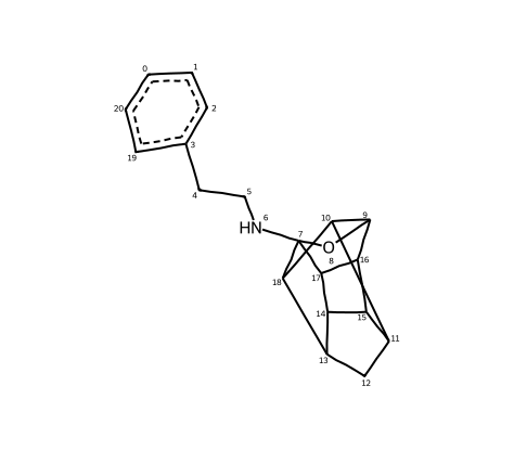 c1ccc(CCNC23OC4C5C6CC(C7C6C4C72)C53)cc1